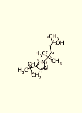 C[C@@H](O)CCC(C)(C)n1cc(C(C)(C)C)cn1